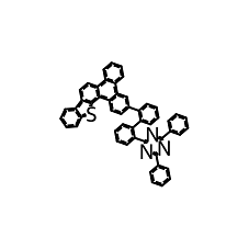 c1ccc(-c2nc(-c3ccccc3)nc(-c3ccccc3-c3ccccc3-c3ccc4c(c3)c3ccccc3c3ccc5c6ccccc6sc5c34)n2)cc1